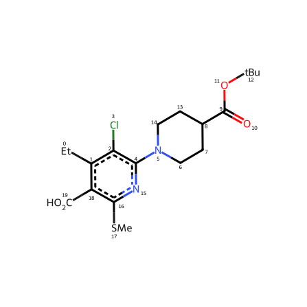 CCc1c(Cl)c(N2CCC(C(=O)OC(C)(C)C)CC2)nc(SC)c1C(=O)O